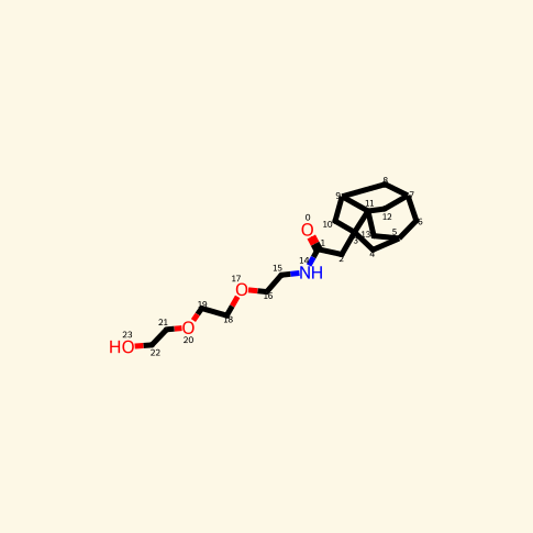 O=C(CC12CC3CC4CC(C1)C2(C4)C3)NCCOCCOCCO